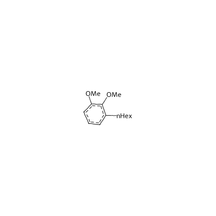 CCCCCCc1cccc(OC)c1OC